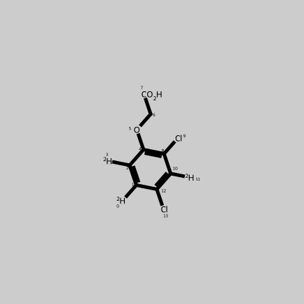 [2H]c1c([2H])c(OCC(=O)O)c(Cl)c([2H])c1Cl